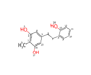 Cc1c(O)cc(CCc2ccccc2O)cc1O